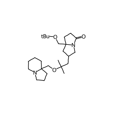 CC(C)(C)OCC12CCC(=O)N1CC(CC(C)(C)OCC13CCCCN1CCC3)C2